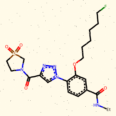 CCNC(=O)c1ccc(-n2cc(C(=O)N3CCS(=O)(=O)C3)nn2)c(OCCCCCCF)c1